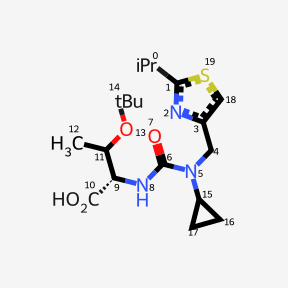 CC(C)c1nc(CN(C(=O)N[C@H](C(=O)O)C(C)OC(C)(C)C)C2CC2)cs1